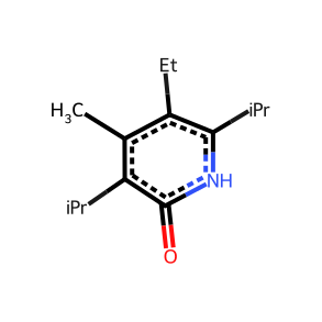 CCc1c(C(C)C)[nH]c(=O)c(C(C)C)c1C